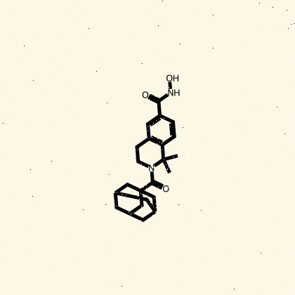 CC1(C)c2ccc(C(=O)NO)cc2CCN1C(=O)C12CC3CC(CC(C3)C1)C2